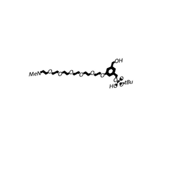 CNCCOCCOCCOCCOCCOCCOc1cc(CO)cc(COP(=O)(O)OC(C)(C)C)c1